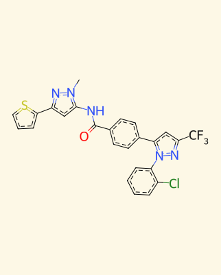 Cn1nc(-c2cccs2)cc1NC(=O)c1ccc(-c2cc(C(F)(F)F)nn2-c2ccccc2Cl)cc1